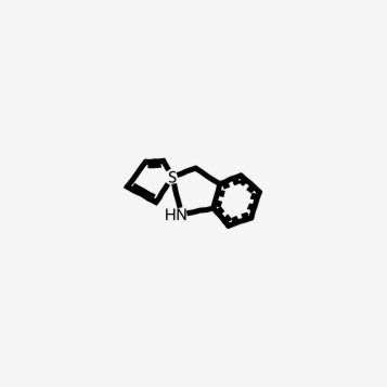 C1=CS2(C=C1)Cc1ccccc1N2